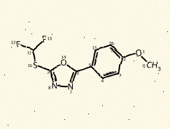 COc1ccc(-c2nnc(SC(F)F)o2)cc1